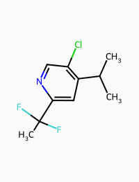 CC(C)c1cc(C(C)(F)F)ncc1Cl